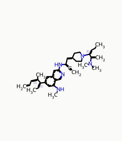 C=C=C(C=C1CCN(/C(=C/CC)C(=C)N(C)C)CC1)Nc1cc2cc(C(=C/C)/C(C)=C\C=C)cc(NC)c2cn1